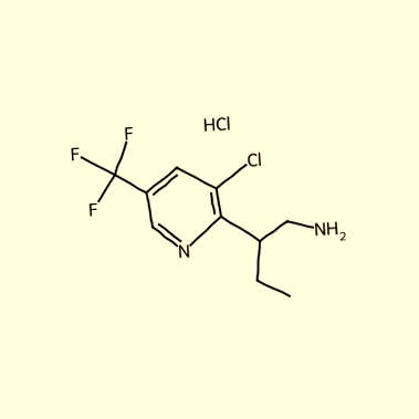 CCC(CN)c1ncc(C(F)(F)F)cc1Cl.Cl